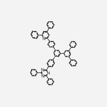 c1ccc(-c2cc(-c3ccccc3)cc(-c3cc(-c4ccc(-c5cc(-c6ccccc6)cc(-c6ccccc6)n5)cc4)cc(-c4ccc(-c5nc(-c6ccccc6)nc(-c6ccccc6)n5)cc4)c3)c2)cc1